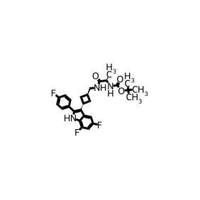 C[C@H](NC(=O)OC(C)(C)C)C(=O)NC[C@H]1C[C@H](c2c(-c3ccc(F)cc3)[nH]c3c(F)cc(F)cc32)C1